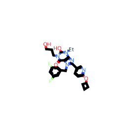 CCN1c2nc(-c3ccc(OC4CCC4)nc3)n(Cc3cc(F)cc(F)c3)c2C(=O)N(CCCO)C1O